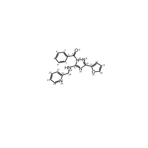 O=C(c1ccccc1)n1nc(-c2ccco2)nc1NCc1ccccn1